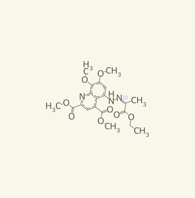 CCOC(=O)/C(C)=N\Nc1cc(OC)c(OC)c2nc(C(=O)OC)cc(C(=O)OC)c12